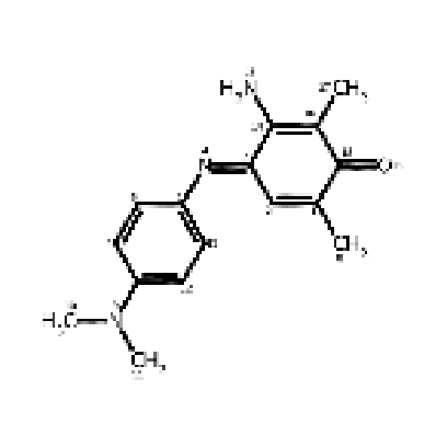 CC1=CC(=Nc2ccc(N(C)C)cc2)C(N)=C(C)C1=O